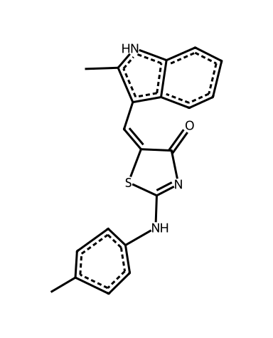 Cc1ccc(NC2=NC(=O)/C(=C\c3c(C)[nH]c4ccccc34)S2)cc1